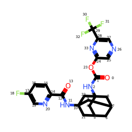 O=C(NC12CC3CC(C1)CC(NC(=O)c1ccc(F)cn1)(C3)C2)Oc1cncc(C(F)(F)F)n1